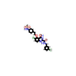 CS(=O)(=O)NC1CCC(CCOc2c(F)ccc3nc(C(=O)NCc4cccc(Cl)c4)[nH]c(=O)c23)CC1